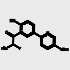 CCCCCCCCCCc1ccc(-c2ccc(O)c(C(=O)C(F)CCCC)c2)nc1